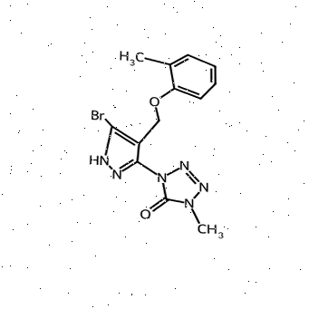 Cc1ccccc1OCc1c(-n2nnn(C)c2=O)n[nH]c1Br